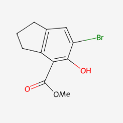 COC(=O)c1c(O)c(Br)cc2c1CCC2